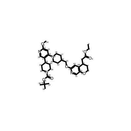 CCOC(=O)CC1CCOc2cnc(OCC3CCN(c4cc(OC)ncc4C4CCN(C(=O)OC(C)(C)C)CC4)CC3)cc21